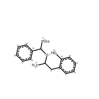 CCCCCCCCC(OC(C)Cc1ccccc1O)c1ccccc1